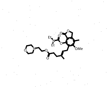 CCN(CC)C(=O)Oc1c(C/C=C(\C)CCC(=O)OCCN2CCOCC2)c(OC)c(C)c2c1C(=O)OC2